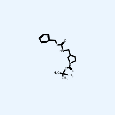 CC(C)(C)OC(=O)N1CCC(CNC(=O)OCc2ccccc2)C1